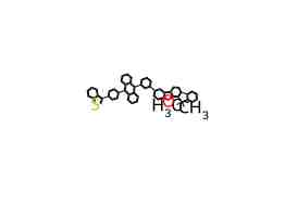 CC1(C)c2ccccc2-c2ccc3c(oc4ccc(-c5cccc(-c6c7ccccc7c(-c7ccc(-c8csc9ccccc89)cc7)c7ccccc67)c5)cc43)c21